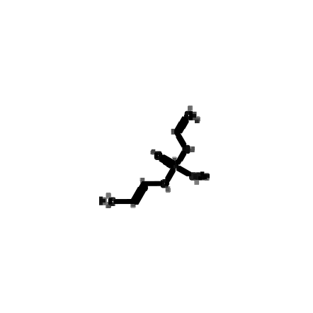 C=COP(=O)(OC)OC=CC